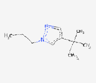 CCCn1cc(C(C)(C)C)cn1